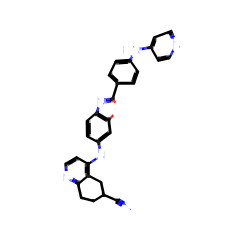 N#CC1CCc2nccc(Nc3ccc4nc(-c5ccc(Nc6ccncc6)cc5)oc4c3)c2C1